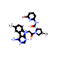 N#C[C@@H]1C[C@@H](C(=O)Nc2cccc(Br)n2)N(C(=O)Cn2c3ccc(C(F)(F)F)cc3c3c(N)ncnc32)C1